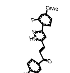 COc1ccc(-c2cc(C=CC(=O)c3ccc(Cl)cc3)[nH]n2)c(F)c1